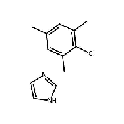 Cc1cc(C)c(Cl)c(C)c1.c1c[nH]cn1